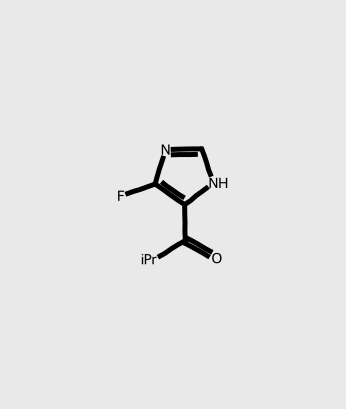 CC(C)C(=O)c1[nH]cnc1F